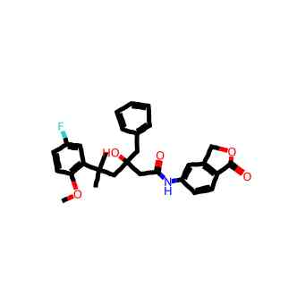 COc1ccc(F)cc1C(C)(C)CC(O)(CC(=O)Nc1ccc2c(c1)COC2=O)Cc1ccccc1